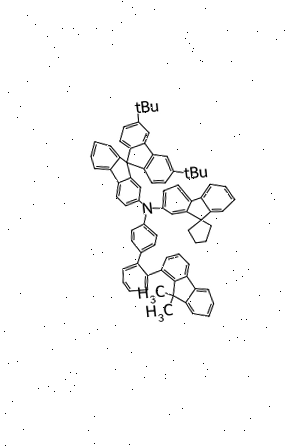 CC(C)(C)c1ccc2c(c1)-c1cc(C(C)(C)C)ccc1C21c2ccccc2-c2ccc(N(c3ccc(-c4ccccc4-c4cccc5c4C(C)(C)c4ccccc4-5)cc3)c3ccc4c(c3)C3(CCCC3)c3ccccc3-4)cc21